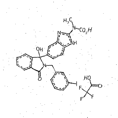 CN(C(=O)O)c1nc2cc(C3(O)c4ccccc4C(=O)N3Cc3cccc(I)c3)ccc2[nH]1.O=C(O)C(F)(F)F